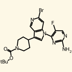 CC(C)(C)OC(=O)N1CCC(c2cn(-c3nc(N)ncc3F)c3cc(Br)ncc23)CC1